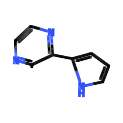 [c]1nccnc1-c1ccc[nH]1